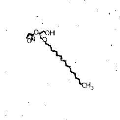 CCCCCCCCCCCCCCCCOC[C@H](CO)Oc1ccon1